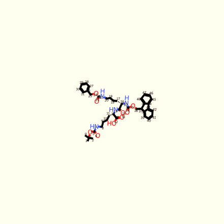 CC(C)(C)OC(=O)NCCCC[C@H](NC(=O)[C@H](CCCCNC(=O)OCc1ccccc1)NC(=O)OCC1c2ccccc2-c2ccccc21)C(=O)O